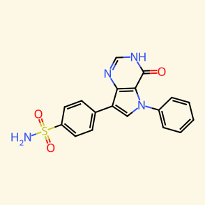 NS(=O)(=O)c1ccc(-c2cn(-c3ccccc3)c3c(=O)[nH]cnc23)cc1